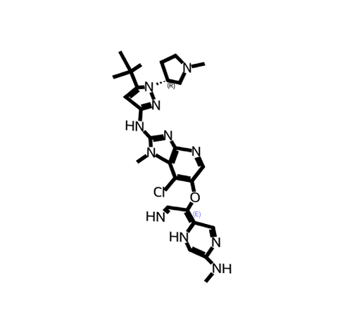 CNC1=CN/C(=C(\C=N)Oc2cnc3nc(Nc4cc(C(C)(C)C)n([C@@H]5CCN(C)C5)n4)n(C)c3c2Cl)C=N1